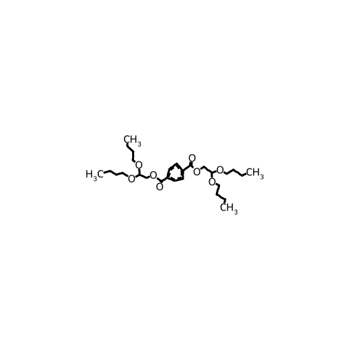 CCCCOC(COC(=O)c1ccc(C(=O)OCC(OCCCC)OCCCC)cc1)OCCCC